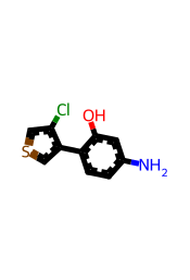 Nc1ccc(-c2cscc2Cl)c(O)c1